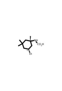 CC[C@H]1CC(C)(C)C[C@](C)(NC(=O)O)C1